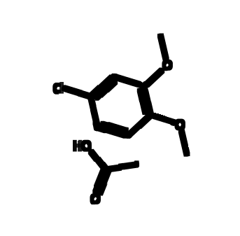 CC(=O)O.COc1ccc(Cl)cc1OC